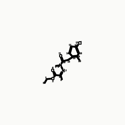 CCOC(=O)C(C)=NN(C)C(=O)Cc1ccc(Cl)cc1C